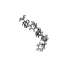 FC(F)c1nnc(-c2ccc(Cn3cc(-c4csc(CN5CCCCC5)n4)nn3)nc2)o1